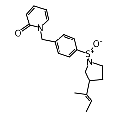 CC=C(C)C1CCN([S+]([O-])c2ccc(Cn3ccccc3=O)cc2)C1